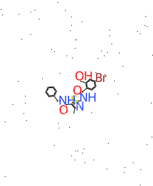 Cc1nc(NC(=O)c2ccc(Br)cc2CO)sc1C(=O)NCc1ccccc1